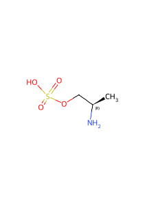 C[C@@H](N)COS(=O)(=O)O